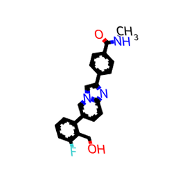 CNC(=O)c1ccc(-c2cn3cc(-c4cccc(F)c4CO)ccc3n2)cc1